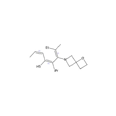 C\C=C/C(S)=C(\C(=C(\C)CC)N1CC2(CCO2)C1)C(C)C